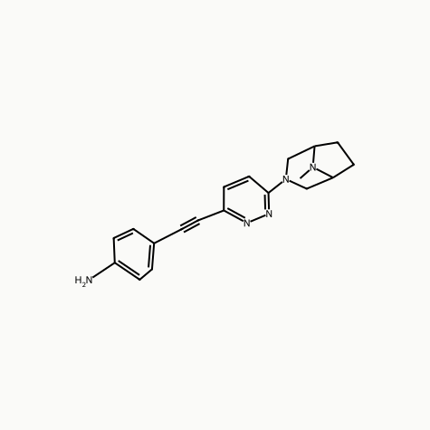 CN1C2CCC1CN(c1ccc(C#Cc3ccc(N)cc3)nn1)C2